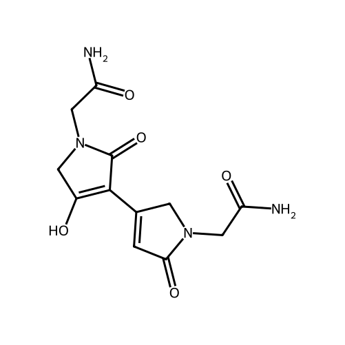 NC(=O)CN1CC(C2=C(O)CN(CC(N)=O)C2=O)=CC1=O